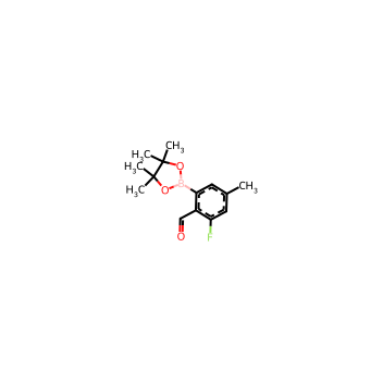 Cc1cc(F)c(C=O)c(B2OC(C)(C)C(C)(C)O2)c1